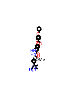 C=C/C=C(\C(C)=C(\C)N)c1ccc(C[C@H](NC(=O)[C@@H]2Cc3cc4c(cc3CN2)O[C@@H](c2ccc(OCC3CCCCC3)cc2)CO4)C(=O)OC)cc1